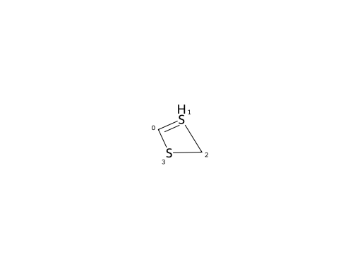 C1=[SH]CS1